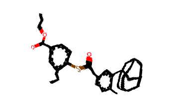 CCOC(=O)c1ccc(SC(=O)c2ccc(C)c(C34CC5CC(CC(C5)C3)C4)c2)c(CC)c1